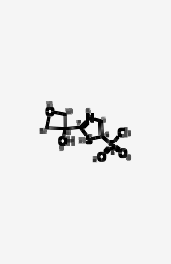 O=S(=O)(Cl)c1cnc(C2(O)COC2)s1